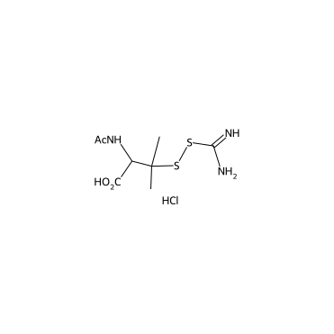 CC(=O)NC(C(=O)O)C(C)(C)SSC(=N)N.Cl